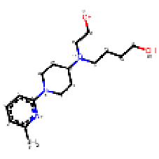 Bc1cccc(N2CCC(N(CCO)CCCCO)CC2)n1